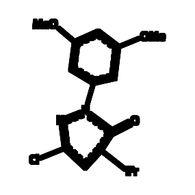 COc1cc(OC)cc(-n2nc(Cl)cc(C(C)C)c2=O)c1